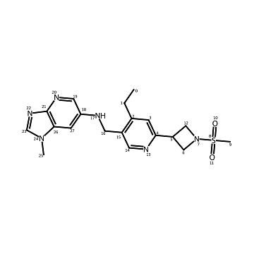 CCc1cc(C2CN(S(C)(=O)=O)C2)ncc1CNc1cnc2ncn(C)c2c1